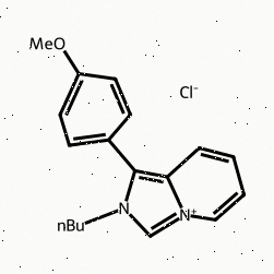 CCCCn1c[n+]2ccccc2c1-c1ccc(OC)cc1.[Cl-]